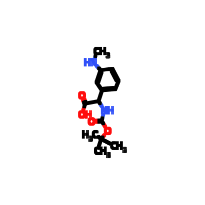 CNc1cccc(C(NC(=O)OC(C)(C)C)C(=O)O)c1